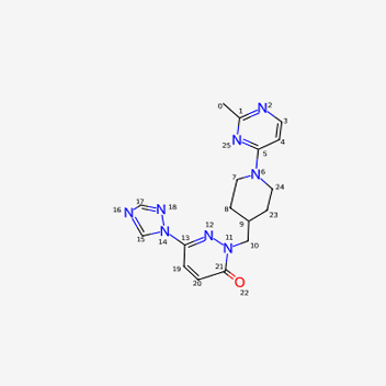 Cc1nccc(N2CCC(Cn3nc(-n4cncn4)ccc3=O)CC2)n1